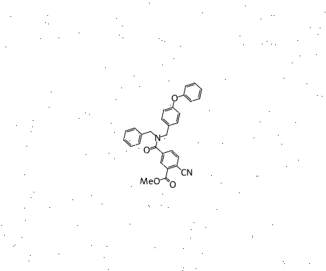 COC(=O)c1cc(C(=O)N(Cc2ccccc2)Cc2ccc(Oc3ccccc3)cc2)ccc1C#N